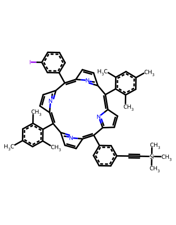 Cc1cc(C)c(C2=C3C=CC(=N3)C(c3cccc(C#C[Si](C)(C)C)c3)=C3C=CC(=N3)C(c3c(C)cc(C)cc3C)=C3C=CC(=N3)C(c3cccc(I)c3)=C3C=CC2=N3)c(C)c1